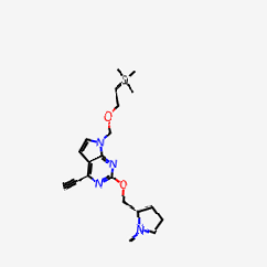 C#Cc1nc(OC[C@H]2CCCN2C)nc2c1ccn2COCC[Si](C)(C)C